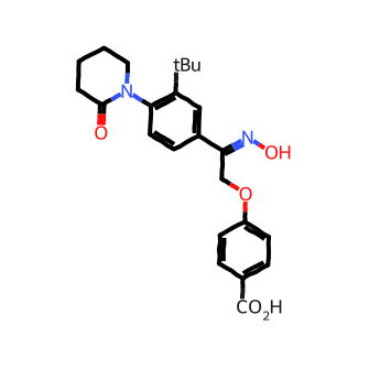 CC(C)(C)c1cc(C(COc2ccc(C(=O)O)cc2)=NO)ccc1N1CCCCC1=O